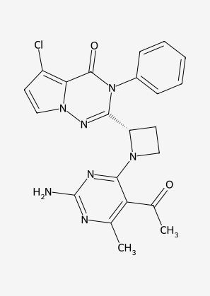 CC(=O)c1c(C)nc(N)nc1N1CC[C@H]1c1nn2ccc(Cl)c2c(=O)n1-c1ccccc1